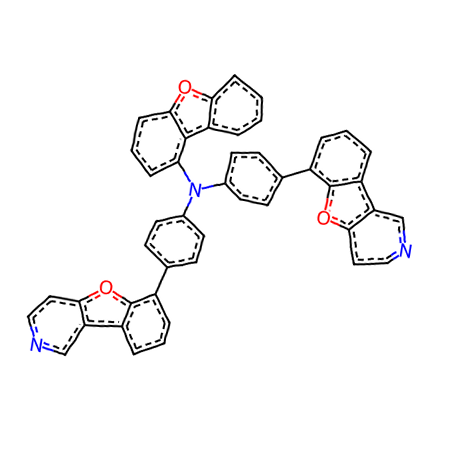 c1ccc2c(c1)oc1cccc(N(c3ccc(-c4cccc5c4oc4ccncc45)cc3)c3ccc(-c4cccc5c4oc4ccncc45)cc3)c12